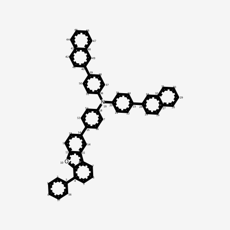 c1ccc(-c2cccc3c2oc2ccc(-c4ccc(N(c5ccc(-c6ccc7ccccc7c6)cc5)c5ccc(-c6ccc7ccccc7c6)cc5)cc4)cc23)cc1